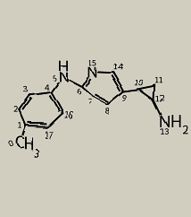 Cc1ccc(Nc2ccc(C3CC3N)cn2)cc1